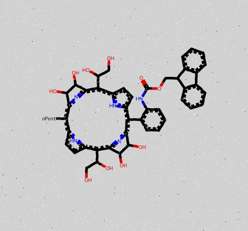 CCCCCc1c2nc(c(C(O)CO)c3ccc([nH]3)c(-c3ccccc3NC(=O)OCC3c4ccccc4-c4ccccc43)c3nc(c(C(O)CO)c4ccc1[nH]4)C(O)C3O)C(O)C2O